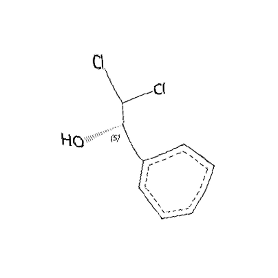 O[C@@H](c1ccccc1)C(Cl)Cl